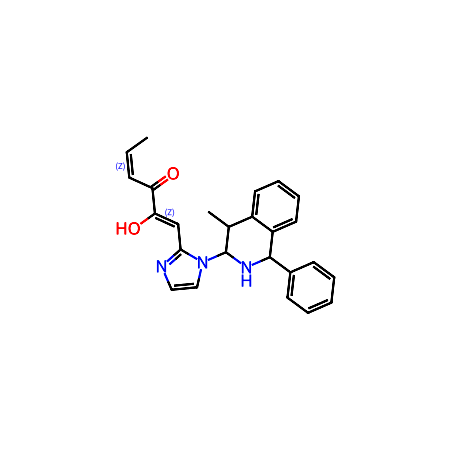 C/C=C\C(=O)/C(O)=C/c1nccn1C1NC(c2ccccc2)c2ccccc2C1C